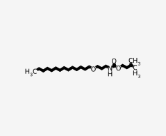 CCCCCCCCCCCCCCOCCCNC(=O)OCCC(C)C